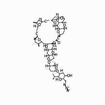 C=C1C2C[C@@H]3O[C@H]4C[C@H]5O[C@@]6(C[C@@H]7O[C@]8(C[C@H](C)[C@@H]9O[C@H](CN=[N+]=[N-])[C@H](O)C[C@@H]9O8)C[C@H](C)[C@@H]7O6)C[C@H]5O[C@H]4[C@H](C)[C@H]3OC(=O)C[C@H]3CC[C@@H]4O[C@@]5(C)C6C[C@H]7C[C@@](CC[C@H]8CC(=C)[C@H](CC[C@@H](C[C@H]1C)O2)O8)(O6)O[C@H](C5O7)[C@H]4O3